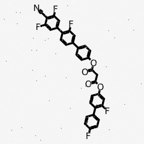 N#Cc1c(F)cc(-c2ccc(-c3ccc(OC(=O)CC(=O)Oc4ccc(-c5ccc(F)cc5)c(F)c4)cc3)cc2F)cc1F